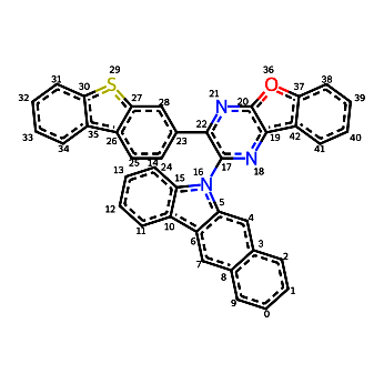 c1ccc2cc3c(cc2c1)c1ccccc1n3-c1nc2c(nc1-c1ccc3c(c1)sc1ccccc13)oc1ccccc12